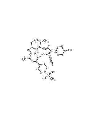 CCc1nc2c(C)cc(C3=CCN(S(C)(=O)=O)CC3)cn2c1N(CC)c1nc(-c2ccc(F)cc2)c(C#N)s1